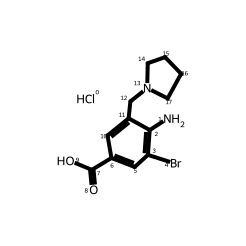 Cl.Nc1c(Br)cc(C(=O)O)cc1CN1CCCC1